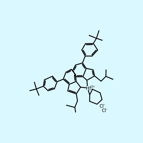 CC(C)CC1=Cc2c(-c3ccc(C(C)(C)C)cc3)cccc2[CH]1[Hf+2]1([CH]2C(CC(C)C)=Cc3c(-c4ccc(C(C)(C)C)cc4)cccc32)[CH]2CCCC[CH]21.[Cl-].[Cl-]